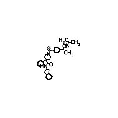 CC(C)=NOC(C)c1ccc(C(=O)N2CCC(C(=O)NC3Cc4ccccc4C3)(c3ccccc3)CC2)cc1